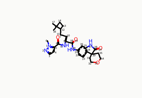 Cn1nccc1C(=O)NC(=CCC1CCC1(C)C)C(=O)Nc1ccc2c(c1)NC(=O)C21CCOCC1